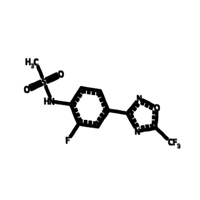 CS(=O)(=O)Nc1ccc(-c2noc(C(F)(F)F)n2)cc1F